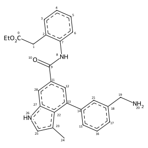 CCOC(=O)Cc1ccccc1NC(=O)c1cc(-c2cccc(CN)c2)c2c(C)c[nH]c2c1